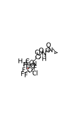 C=C1CC(c2ccc(C(=O)N[C@H]3CC(=O)N(CC4CC4)C3)c(C)c2)=NO[C@]1(c1cc(C(F)(F)F)cc(Cl)c1F)C(F)(F)F